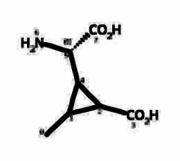 CC1C(C(=O)O)C1[C@H](N)C(=O)O